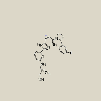 N=C(/C=C\c1ncc(-c2cccc(NC[C@H](O)CO)n2)[nH]1)N1CCCC1c1cccc(F)c1